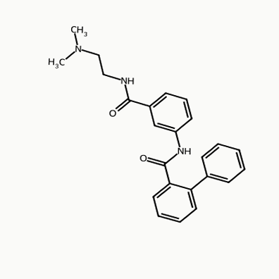 CN(C)CCNC(=O)c1cccc(NC(=O)c2ccccc2-c2ccccc2)c1